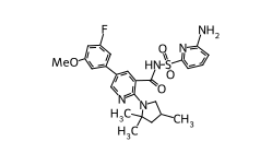 COc1cc(F)cc(-c2cnc(N3CC(C)CC3(C)C)c(C(=O)NS(=O)(=O)c3cccc(N)n3)c2)c1